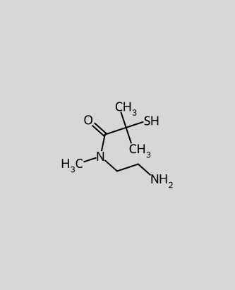 CN(CCN)C(=O)C(C)(C)S